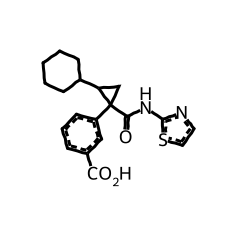 O=C(O)c1cccc(C2(C(=O)Nc3nccs3)CC2C2CCCCC2)c1